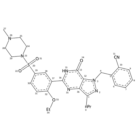 CCCc1nn(Cc2ccccc2C#N)c2c(=O)[nH]c(-c3cc(S(=O)(=O)N4CCN(C)CC4)ccc3OCC)nc12